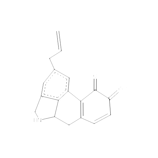 C=CCc1cc2c3c(c1)C1=C(C=CC(=O)C1=O)CC3NC2